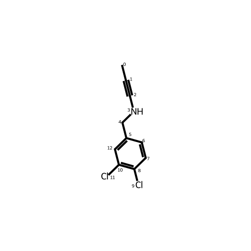 CC#CNCc1ccc(Cl)c(Cl)c1